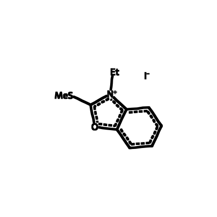 CC[n+]1c(SC)oc2ccccc21.[I-]